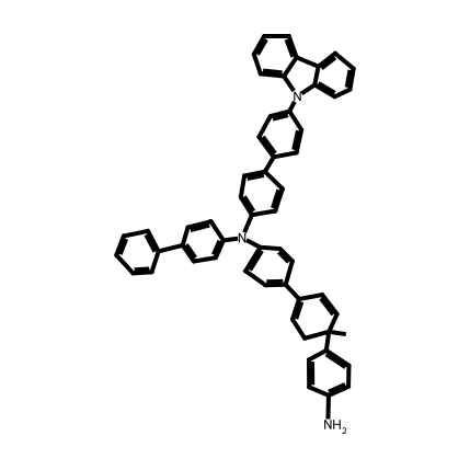 CC1(c2ccc(N)cc2)C=CC(c2ccc(N(c3ccc(-c4ccccc4)cc3)c3ccc(-c4ccc(-n5c6ccccc6c6ccccc65)cc4)cc3)cc2)=CC1